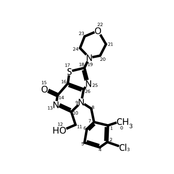 Cc1c(Cl)cccc1Cn1c(CO)nc(=O)c2sc(N3CCOCC3)nc21